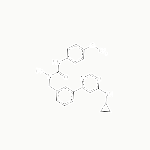 CC(C)N(Cc1cccc(-c2cc(NC3CC3)ncn2)c1)C(=O)Nc1ccc(OC(F)(F)F)cc1